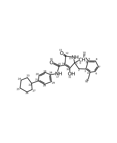 CC1(Cc2c(F)cccc2F)NC(=O)C(C(=O)Nc2ccc(C3CCCCC3)cc2)=C1O